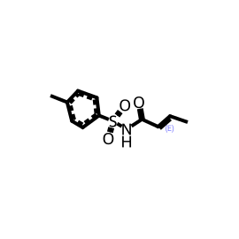 C/C=C/C(=O)NS(=O)(=O)c1ccc(C)cc1